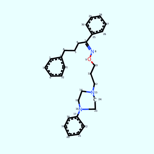 c1ccc(CCCC(=NOCCCN2CCN(c3ccccc3)CC2)c2ccccc2)cc1